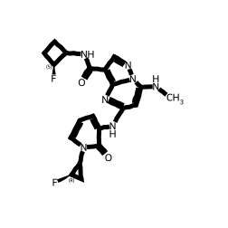 CNc1cc(Nc2cccn(C3C[C@H]3F)c2=O)nc2c(C(=O)NC3CC[C@@H]3F)cnn12